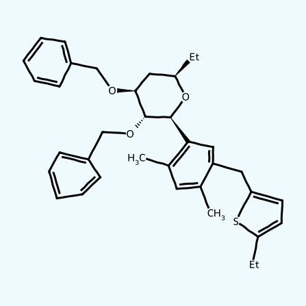 CCc1ccc(Cc2cc([C@@H]3O[C@H](CC)C[C@H](OCc4ccccc4)[C@H]3OCc3ccccc3)c(C)cc2C)s1